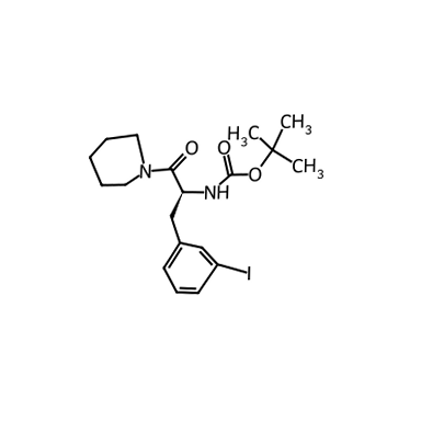 CC(C)(C)OC(=O)N[C@@H](Cc1cccc(I)c1)C(=O)N1CCCCC1